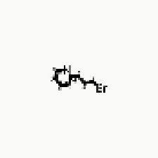 BrCCCc1ccccn1